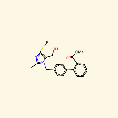 CCSc1nc(C)n(Cc2ccc(-c3ccccc3C(=O)OC)cc2)c1CO